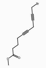 COC(=O)CCCC#CCC#CCBr